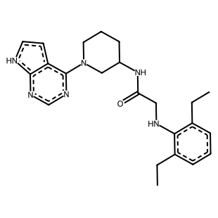 CCc1cccc(CC)c1NCC(=O)NC1CCCN(c2ncnc3[nH]ccc23)C1